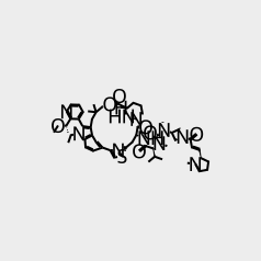 CCn1c(-c2cccnc2[C@H](C)OC)c2c3cc(ccc31)-c1csc(n1)C[C@H](NC(=O)[C@H](C(C)C)N(C)C(=O)N(C)C1CN(C(=O)/C=C/[C@H]3CCCN3C)C1)C(=O)N1CCC[C@H](N1)C(=O)OCC(C)(C)C2